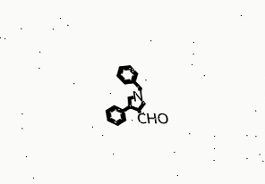 O=CC1CN(Cc2ccccc2)CC1c1ccccc1